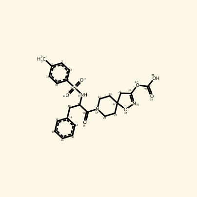 Cc1ccc(S(=O)(=O)NC(Cc2ccccc2)C(=O)N2CCC3(CC2)CC(OC(=O)O)=NO3)cc1